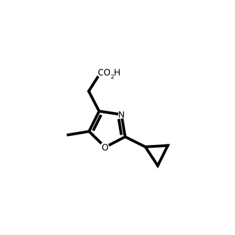 Cc1oc(C2CC2)nc1CC(=O)O